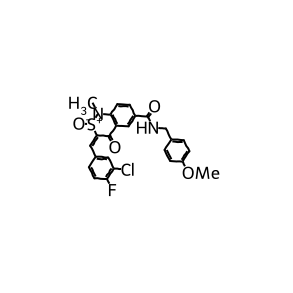 COc1ccc(CNC(=O)c2ccc3c(c2)C(=O)/C(=C\c2ccc(F)c(Cl)c2)[S+]([O-])N3C)cc1